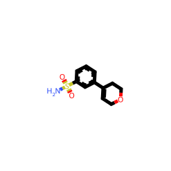 NS(=O)(=O)c1cccc(C2=CCOCC2)c1